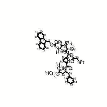 CC[C@H](C)[C@H](NC(=O)OCC1c2ccccc2-c2ccccc21)C(=O)N(C)[C@H](C[C@@H](OC(=O)CC(C)C)c1nc(C(=O)NC(Cc2ccccc2)CC(C)C(=O)O)cs1)C(C)C